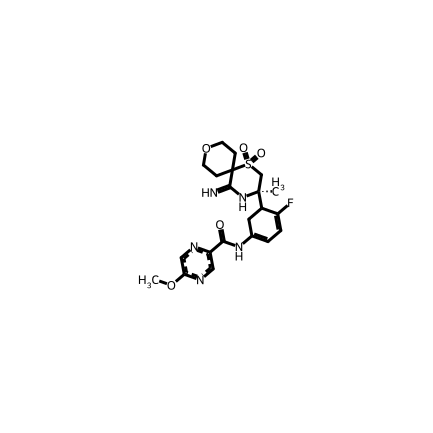 COc1cnc(C(=O)NC2=CC=C(F)C([C@]3(C)CS(=O)(=O)C4(CCOCC4)C(=N)N3)C2)cn1